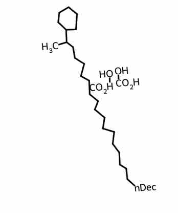 CCCCCCCCCCCCCCCCCCCCCCCCCCC(C)C1CCCCC1.O=C(O)O.O=C(O)O